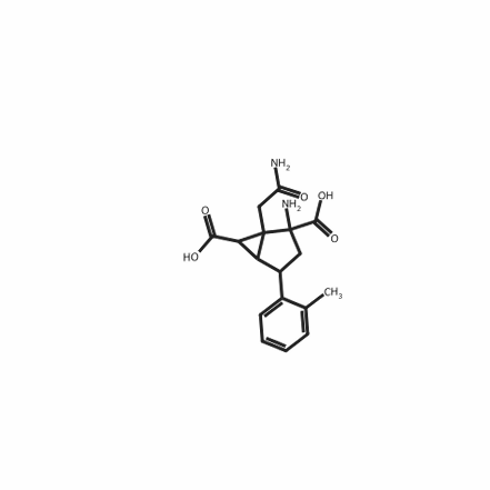 Cc1ccccc1C1CC(N)(C(=O)O)C2(CC(N)=O)C(C(=O)O)C12